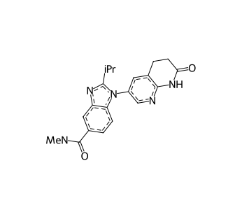 CNC(=O)c1ccc2c(c1)nc(C(C)C)n2-c1cnc2c(c1)CCC(=O)N2